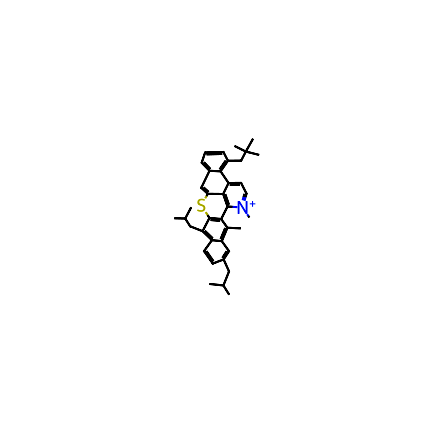 Cc1c2c(c(CC(C)C)c3ccc(CC(C)C)cc13)Sc1cc3cccc(CC(C)(C)C)c3c3cc[n+](C)c-2c13